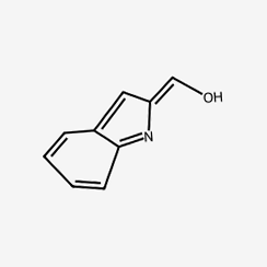 OC=C1C=c2ccccc2=N1